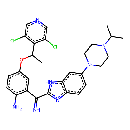 CC(Oc1ccc(N)c(C(=N)c2nc3ccc(N4CCN(C(C)C)CC4)cc3[nH]2)c1)c1c(Cl)cncc1Cl